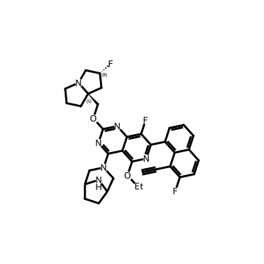 C#Cc1c(F)ccc2cccc(-c3nc(OCC)c4c(N5CC6CCC(C5)N6)nc(OC[C@@]56CCCN5C[C@H](F)C6)nc4c3F)c12